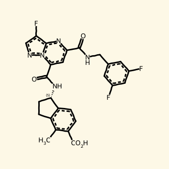 Cc1c(C(=O)O)ccc2c1CC[C@@H]2NC(=O)c1cc(C(=O)NCc2cc(F)cc(F)c2)nc2c(F)cnn12